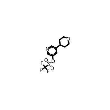 O=S(=O)(Oc1cncc(C2CCOCC2)c1)C(F)(F)F